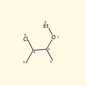 [CH2]COC(C)C(C)Cl